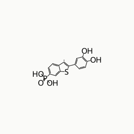 O=P(O)(O)c1ccc2[c]c(-c3ccc(O)c(O)c3)sc2c1